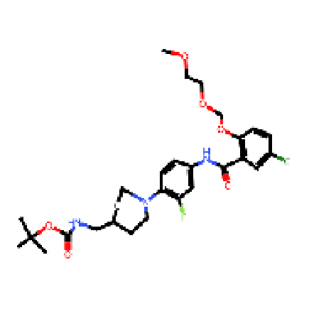 COCCOCOc1ccc(Cl)cc1C(=O)Nc1ccc(N2CCC(CNC(=O)OC(C)(C)C)CC2)c(F)c1